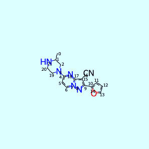 CC1CN(c2ccn3nc(-c4ccco4)c(C#N)c3n2)CCN1